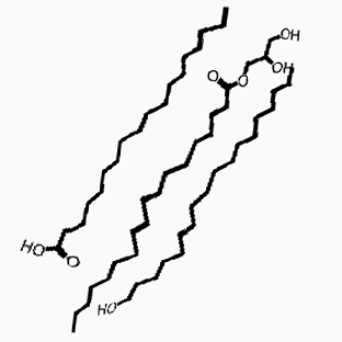 CCCCCCCCCCCCCCCCCC(=O)O.CCCCCCCCCCCCCCCCCC(=O)OCC(O)CO.CCCCCCCCCCCCCCCCCCO